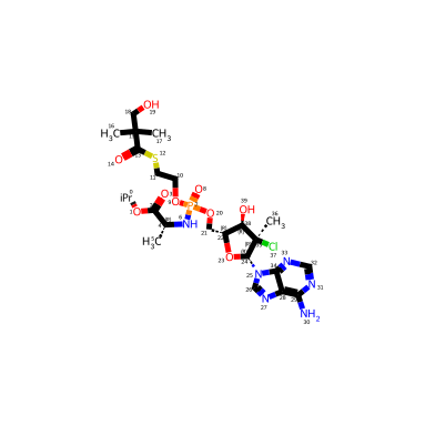 CC(C)OC(=O)[C@@H](C)NP(=O)(OCCSC(=O)C(C)(C)CO)OC[C@H]1O[C@@H](n2cnc3c(N)ncnc32)[C@](C)(Cl)[C@@H]1O